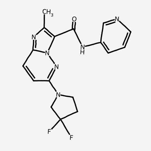 Cc1nc2ccc(N3CCC(F)(F)C3)nn2c1C(=O)Nc1cccnc1